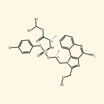 CCOCc1nc2c(N)nc3ccccc3c2n1C[C@@H](C)O[P@@](=O)(N[C@@H](C)C(=O)OC(CC)CC)Oc1ccc(Cl)cc1